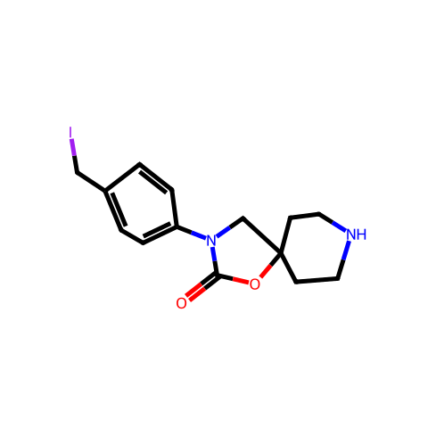 O=C1OC2(CCNCC2)CN1c1ccc(CI)cc1